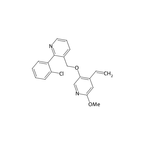 C=Cc1cc(OC)ncc1OCc1cccnc1-c1ccccc1Cl